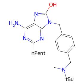 CCCCCc1nc(N)c2nc(O)n(Cc3ccc(CN(C)C(C)(C)C)cc3)c2n1